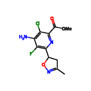 COC(=O)c1nc(C2CC(C)=NO2)c(F)c(N)c1Cl